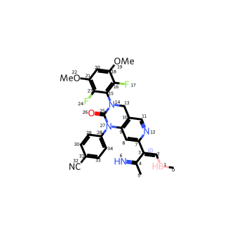 CB/C=C(\C(C)=N)c1cc2c(cn1)CN(c1c(F)c(OC)cc(OC)c1F)C(=O)N2c1ccc(C#N)cc1